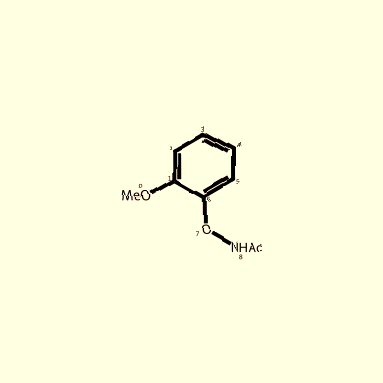 COc1ccccc1ONC(C)=O